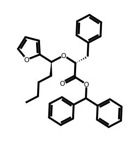 CCCC[C@H](O[C@H](Cc1ccccc1)C(=O)OC(c1ccccc1)c1ccccc1)c1ccco1